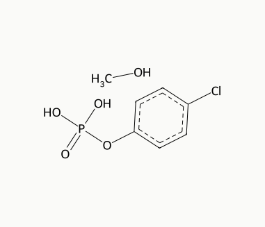 CO.O=P(O)(O)Oc1ccc(Cl)cc1